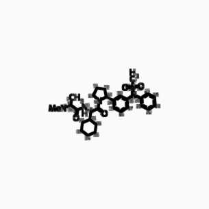 CN[C@@H](C)C(=O)N[C@H](C(=O)N1CCC[C@H]1c1cccc(N(c2ccccc2)S(C)(=O)=O)c1)C1CCCCC1